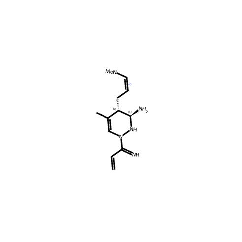 C=CC(=N)N1C=C(C)[C@H](C/C=C\NC)[C@@H](N)N1